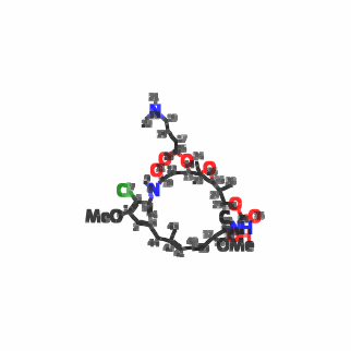 COc1cc2cc(c1Cl)N(C)C(=O)CC(OC(=O)CCCN(C)C)C1(C)OC1C(C)C1CC(O)(NC(=O)O1)C(OC)C#C/C=C(\C)C2